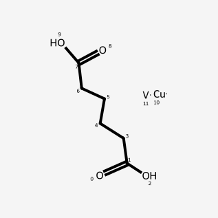 O=C(O)CCCCC(=O)O.[Cu].[V]